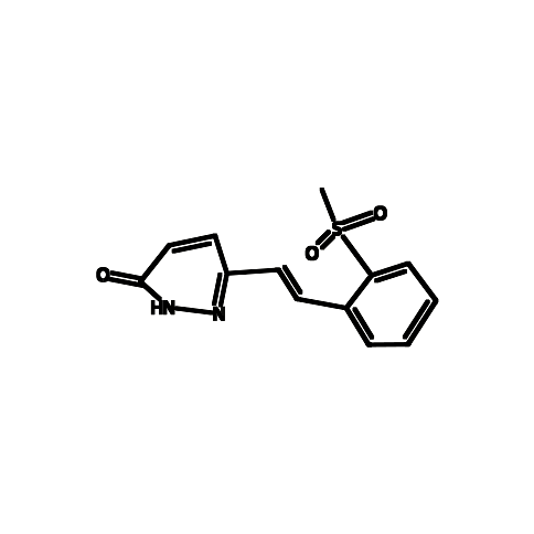 CS(=O)(=O)c1ccccc1C=Cc1ccc(=O)[nH]n1